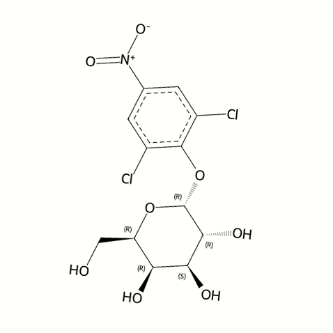 O=[N+]([O-])c1cc(Cl)c(O[C@H]2O[C@H](CO)[C@H](O)[C@H](O)[C@H]2O)c(Cl)c1